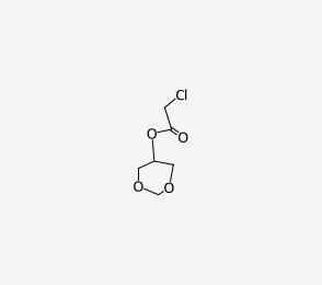 O=C(CCl)OC1COCOC1